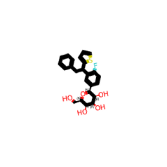 OC[C@H]1O[C@@H](c2ccc(F)c(C(Cc3ccccc3)c3cccs3)c2)[C@H](O)[C@@H](O)[C@@H]1O